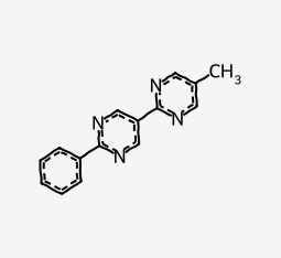 Cc1cnc(-c2cnc(-c3ccccc3)nc2)nc1